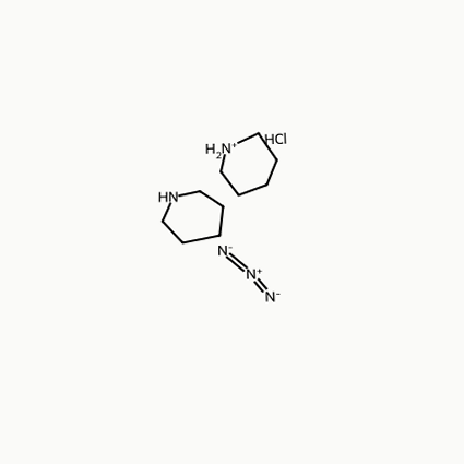 C1CCNCC1.C1CC[NH2+]CC1.Cl.[N-]=[N+]=[N-]